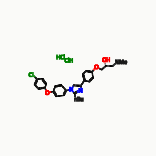 CCCCc1nc(-c2ccc(OC[C@H](O)CNC)cc2)cn1-c1ccc(Oc2ccc(Cl)cc2)cc1.Cl.Cl